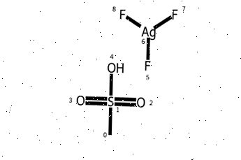 CS(=O)(=O)O.[F][Ag]([F])[F]